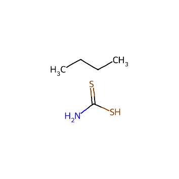 CCCC.NC(=S)S